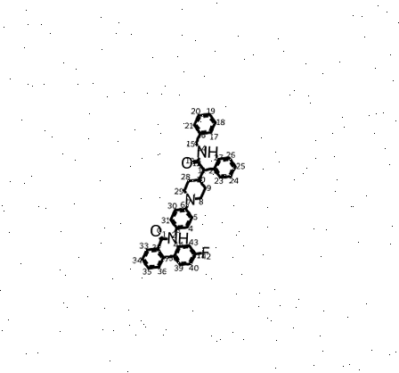 O=C(Nc1ccc(N2CCC(C(C(=O)NCc3ccccc3)c3ccccc3)CC2)cc1)c1ccccc1-c1ccc(F)cc1